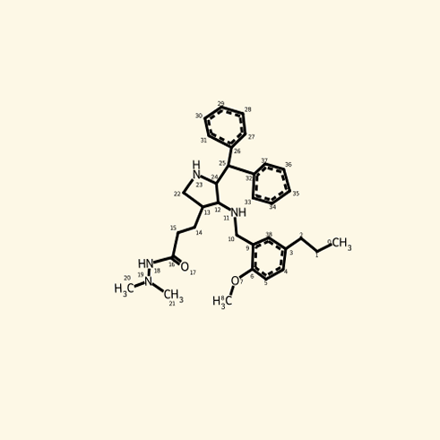 CCCc1ccc(OC)c(CNC2C(CCC(=O)NN(C)C)CNC2C(c2ccccc2)c2ccccc2)c1